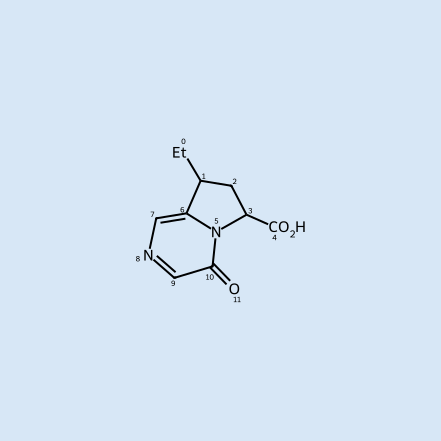 CCC1CC(C(=O)O)n2c1cncc2=O